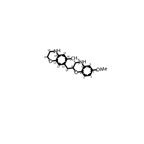 COc1ccc2c(c1)NCC(Cc1cc3c(cc1C)NCCO3)O2